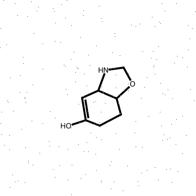 OC1=CC2NCOC2CC1